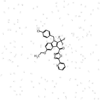 CCOc1ccc2c(c1)c(C(=O)c1nnc(-c3ccccn3)o1)c(C(F)(F)F)n2Cc1ccc(Cl)cc1